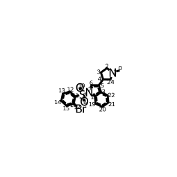 CN1CCC(c2cn(S(=O)(=O)c3ccccc3Br)c3ccccc23)C1